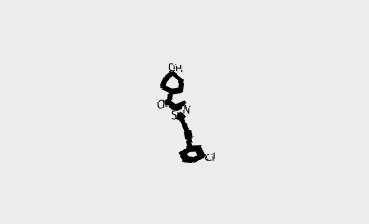 O=C(c1cnc(C#Cc2cccc(Cl)c2)s1)C1CCC(O)CC1